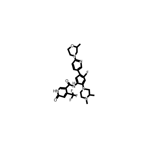 CC1CN(c2ccc(-c3cc(NC(=O)c4c[nH]c(=O)cc4C(F)(F)F)c(N4CCN(C)C(C)C4)cc3F)cn2)CCO1